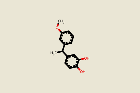 COc1cccc(C(C)c2ccc(O)c(O)c2)c1